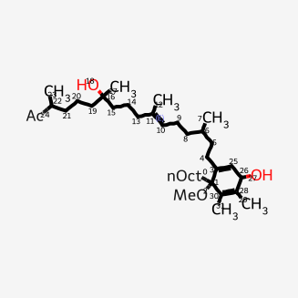 CCCCCCCCC1(OC)C(CCC(C)CC/C=C(\C)CCCC(C)(O)CCCC(C)C(C)=O)=CC(O)C(C)=C1C